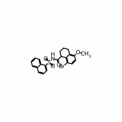 COc1ccc(Br)c2c1CCCC2C(=O)NS(=O)(=O)c1cccc2ccccc12